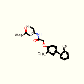 CNC(=O)C[C@H](CC(C)C)NC(=O)COc1ccc(-c2ccccc2C#N)cc1C=O